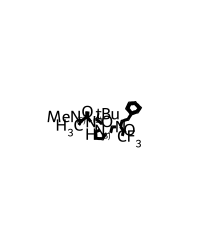 CN[C@@H](C)C(=O)N[C@H](C(=O)N1CCC[C@H]1CCN(CCc1ccccc1)C(=O)C(F)(F)F)C(C)(C)C